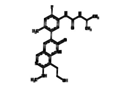 CNc1ncc2cc(-c3cc(NC(=O)NC(C)C)c(F)cc3C)c(=O)[nH]c2c1CCO